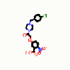 O=C(O)c1cc(OCC(=O)N2CCN(Cc3ccc(Cl)cc3)CC2)ccc1[N+](=O)[O-]